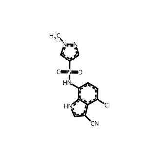 Cn1cc(S(=O)(=O)Nc2ccc(Cl)c3c(C#N)c[nH]c23)cn1